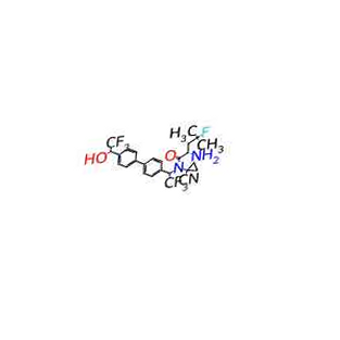 CC(C)(F)C[C@H](N)C(=O)N(C(c1ccc(-c2ccc(C(O)C(F)(F)F)cc2)cc1)C(F)(F)F)C1(C#N)CC1